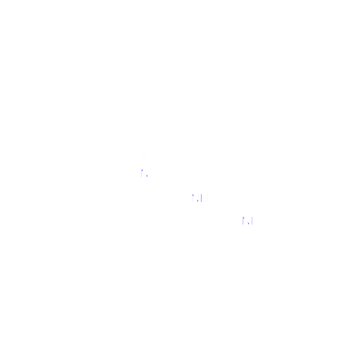 N=CNC(/N=C/c1ccccc1)c1ccccc1